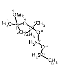 CO[Si](C)(C)O[Si](C)(C)O[SiH2]O[SiH2]C